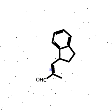 C/C(C=O)=C\C1CCc2ccccc21